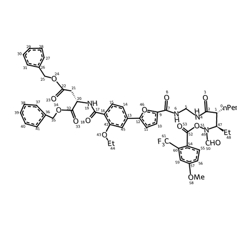 CCCCC[C@@H](C(=O)NCNC(=O)c1ccc(-c2ccc(C(=O)N[C@@H](CC(=O)OCc3ccccc3)C(=O)OCc3ccccc3)c(OCC)c2)o1)[C@@H](CC)N(C=O)OC(=O)c1ccc(OC)cc1C(F)(F)F